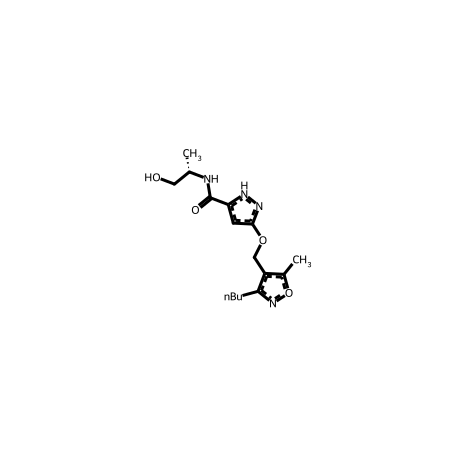 CCCCc1noc(C)c1COc1cc(C(=O)N[C@@H](C)CO)[nH]n1